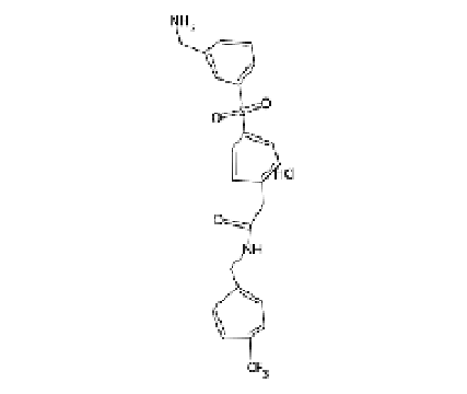 Cl.NCc1cccc(S(=O)(=O)c2ccc(CC(=O)NCc3ccc(C(F)(F)F)cc3)cc2)c1